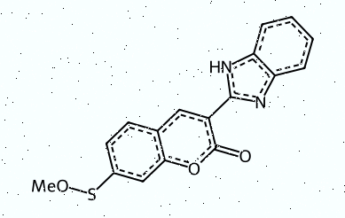 COSc1ccc2cc(-c3nc4ccccc4[nH]3)c(=O)oc2c1